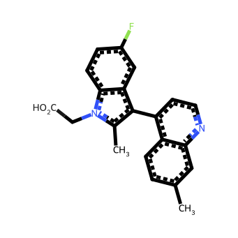 Cc1ccc2c(-c3c(C)n(CC(=O)O)c4ccc(F)cc34)ccnc2c1